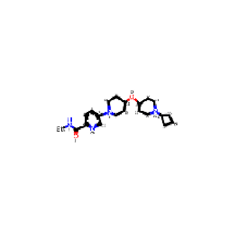 CCNC(=O)c1ccc(N2CCC(OC3CCN(C4CCC4)CC3)CC2)cn1